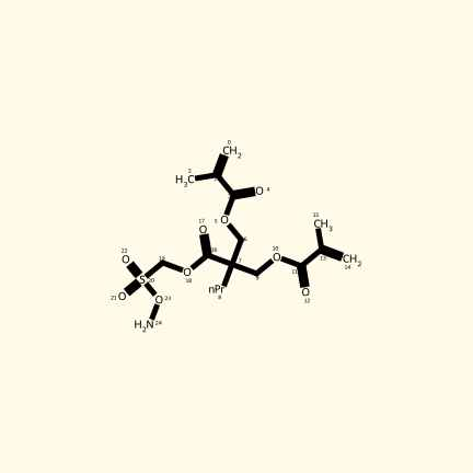 C=C(C)C(=O)OCC(CCC)(COC(=O)C(=C)C)C(=O)OCS(=O)(=O)ON